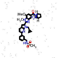 COc1cc(C(=O)N2C[C@H]3CC[C@@H]2[C@@H]3N)cc2nc(-c3cc4ccc(-c5cccc(CNS(C)(=O)=O)c5)nc4n3CC3CC3)n(C)c12